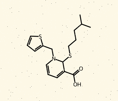 CC(C)CCCSC1C(C(=O)O)=CC=CN1Cc1cccs1